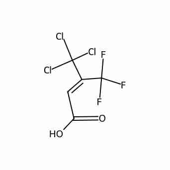 O=C(O)/C=C(\C(F)(F)F)C(Cl)(Cl)Cl